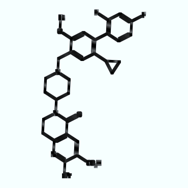 CCCc1nc2c(cc1C(=O)O)C(=O)N(C1CCN(Cc3cc(C4CC4)c(-c4ccc(F)cc4F)cc3OCC)CC1)CC2